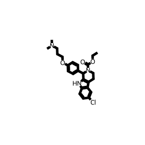 CCOC(=O)N1CCc2c([nH]c3ccc(Cl)cc23)C1c1ccc(OCCCN(C)C)cc1